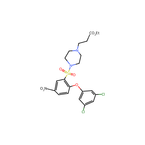 CCOC(=O)CCN1CCN(S(=O)(=O)c2cc([N+](=O)[O-])ccc2Oc2cc(Cl)cc(Cl)c2)CC1